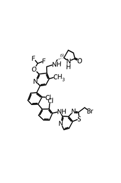 Cc1cc(-c2cccc(-c3cccc(Nc4nccc5sc(CBr)nc45)c3Cl)c2Cl)nc(OC(F)F)c1CNC[C@@H]1CCC(=O)N1